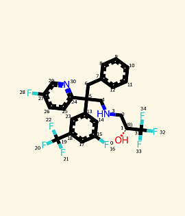 O[C@H](CNCC(Cc1ccccc1)(c1cc(F)cc(C(F)(F)F)c1)c1ccc(F)cn1)C(F)(F)F